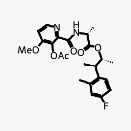 COc1ccnc(C(=O)N[C@H](C)C(=O)O[C@H](C)[C@H](C)c2ccc(F)cc2C)c1OC(C)=O